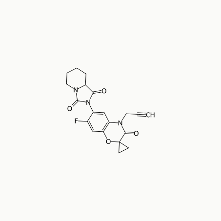 C#CCN1C(=O)C2(CC2)Oc2cc(F)c(N3C(=O)C4CCCCN4C3=O)cc21